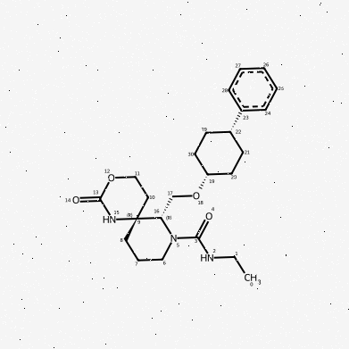 CCNC(=O)N1CCC[C@@]2(CCOC(=O)N2)[C@@H]1CO[C@H]1CC[C@@H](c2ccccc2)CC1